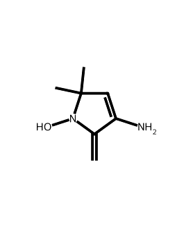 C=C1C(N)=CC(C)(C)N1O